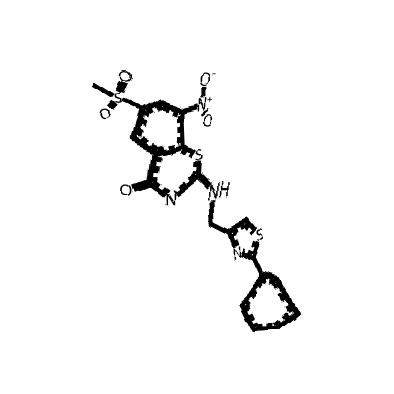 CS(=O)(=O)c1cc([N+](=O)[O-])c2sc(NCc3csc(-c4ccccc4)n3)nc(=O)c2c1